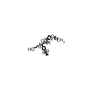 CN1CC(Oc2ccc3nc(NC(=O)/C(=N/OCCCO)c4ccc(S(=O)(=O)C5CC5)cc4)sc3n2)C1